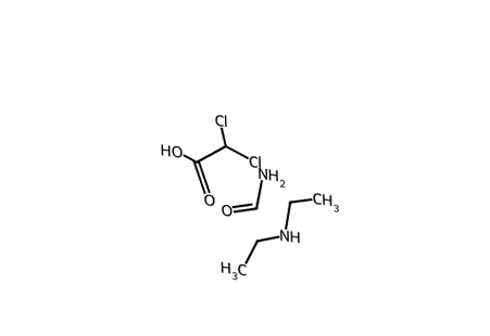 CCNCC.NC=O.O=C(O)C(Cl)Cl